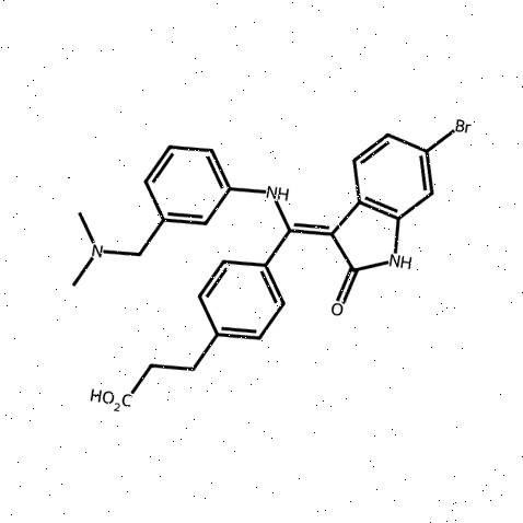 CN(C)Cc1cccc(NC(=C2C(=O)Nc3cc(Br)ccc32)c2ccc(CCC(=O)O)cc2)c1